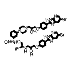 CC(C)C(CO)NCC(O)COc1ccc(-c2nc3cc(Br)cnc3[nH]2)cc1.COc1cccc(N2CCN(CC(O)COc3ccc(-c4nc5cc(Br)cnc5[nH]4)cc3)CC2)c1